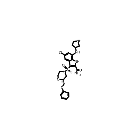 NC(=O)c1[nH]c2c(NC3CCNC3)cc(Cl)cc2c1S(=O)(=O)N1CCO[C@H](COc2ccccc2)C1